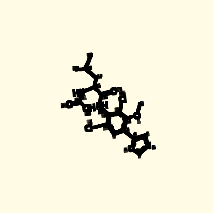 COc1c(-c2cnco2)cc(Cl)c(NC(=O)C(CC(C)C)NC(=O)O)c1Cl